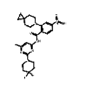 Cc1cc(NC(=O)c2ccc([SH](=N)=O)cc2N2CCC3(CC2)CC3)nc(N2CCC(C)(F)CC2)n1